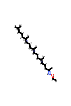 CCO/N=C(\C)CC/C=C(\C)CC/C=C(\C)CC/C=C(\C)CCC=C(C)C